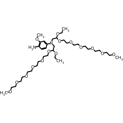 CCOC(CN(CC(OCC)OCCOCCOCCOCCOCCOC)c1ccc(N)c(OC)c1)OCCOCCOCCOCCOCCOC